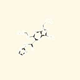 CCOc1nc2c(nc1C(=O)Nc1nccs1)c(C)nn2CC